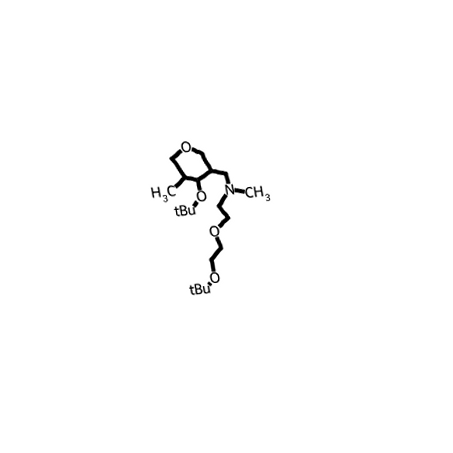 CC1COCC(CN(C)CCOCCOC(C)(C)C)C1OC(C)(C)C